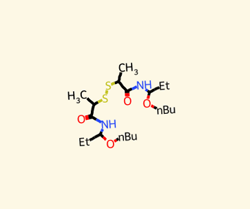 CCCCOC(CC)NC(=O)C(C)SSC(C)C(=O)NC(CC)OCCCC